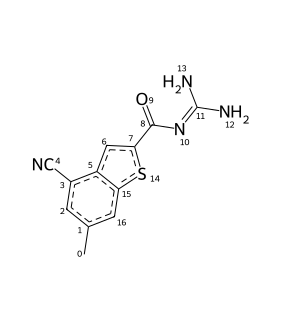 Cc1cc(C#N)c2cc(C(=O)N=C(N)N)sc2c1